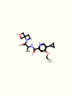 CC(C)(C)C(NC(=O)c1cc(OCC(F)(F)F)c(C2CC2)cn1)C(=O)N1CCC12COC2